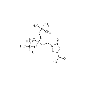 C[Si](C)(C)CO[Si](C)(CCN1CC(C(=O)O)CC1=O)O[Si](C)(C)C